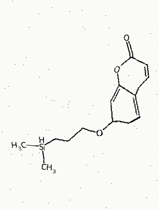 C[SiH](C)CCCOC1C=c2oc(=O)ccc2=CC1